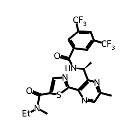 CCN(C)C(=O)c1cnc(-c2ncc(C)nc2[C@H](C)NC(=O)c2cc(C(F)(F)F)cc(C(F)(F)F)c2)s1